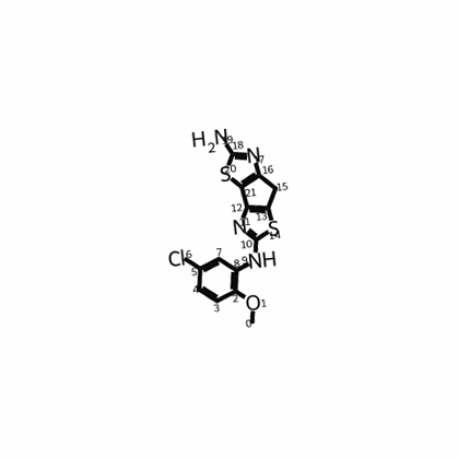 COc1ccc(Cl)cc1Nc1nc2c(s1)Cc1nc(N)sc1-2